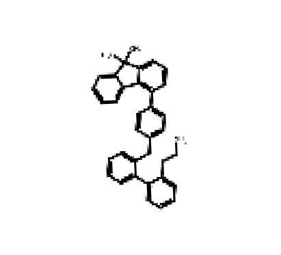 CC1(C)c2ccccc2-c2c(-c3ccc(Cc4ccccc4-c4ccccc4CCN)cc3)cccc21